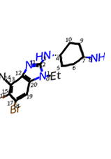 CCn1c(N[C@H]2CC[C@H](N)CC2)nc2c([N+](=O)[O-])c(Br)c(Br)cc21